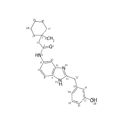 CC1(CC(=O)Nc2ccc3[nH]c(Cc4cccc(O)c4)nc3c2)CCCCC1